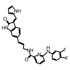 O=C1Nc2cc(/C=C/CNC(=O)c3cccc(Nc4ccc(F)c(F)c4)n3)ccc2C1=Cc1ccc[nH]1